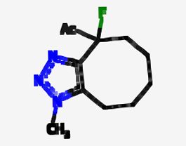 CC(=O)C1(F)CCCCCc2c1nnn2C